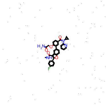 CNC(=O)c1c(-c2ccc(F)cc2)oc2ccc(-c3cc(C(=O)N(c4ccccn4)C4CC4)ccc3OCC(N)=O)cc12